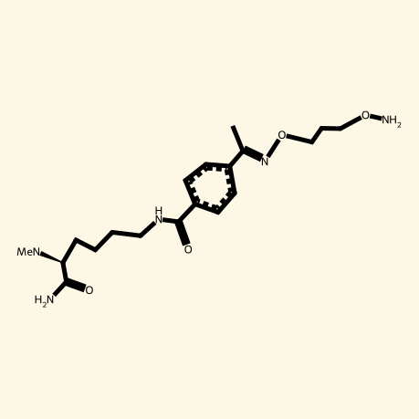 CN[C@@H](CCCCNC(=O)c1ccc(/C(C)=N/OCCCON)cc1)C(N)=O